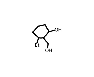 CCC1CCCC(O)C1CO